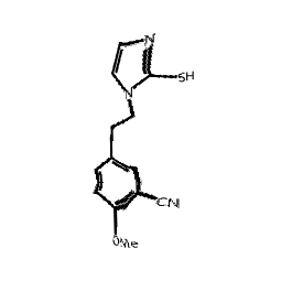 COc1ccc(CCn2ccnc2S)cc1C#N